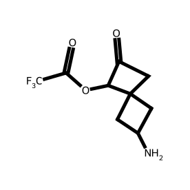 NC1CC2(CC(=O)C2OC(=O)C(F)(F)F)C1